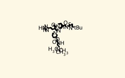 CC(C)(C)c1csc(NC(=O)c2ccn3c(=O)c(C=Cc4nn[nH]n4)c(N4CCC[C@@H](OC(=O)NCC[N+](C)(C)C)C4)nc3c2)n1